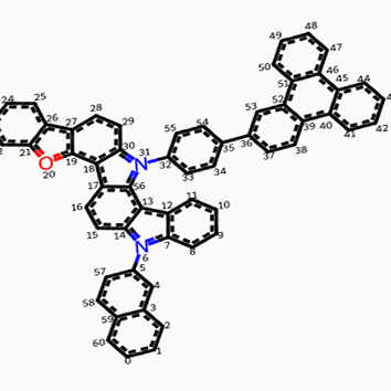 c1ccc2cc(-n3c4ccccc4c4c3ccc3c5c6oc7ccccc7c6ccc5n(-c5ccc(-c6ccc7c8ccccc8c8ccccc8c7c6)cc5)c34)ccc2c1